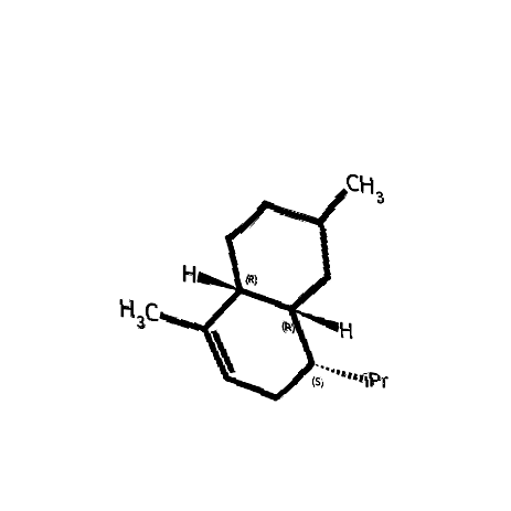 CC1=CC[C@@H](C(C)C)[C@H]2CC(C)CC[C@@H]12